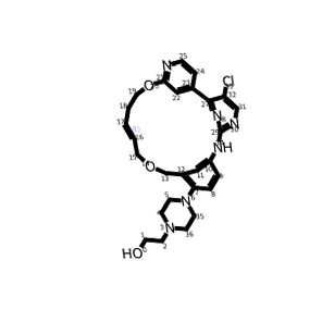 OCCN1CCN(c2ccc3cc2COC/C=C/CCOc2cc(ccn2)-c2nc(ncc2Cl)N3)CC1